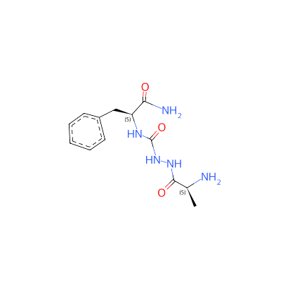 C[C@H](N)C(=O)NNC(=O)N[C@@H](Cc1ccccc1)C(N)=O